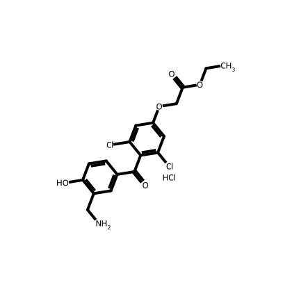 CCOC(=O)COc1cc(Cl)c(C(=O)c2ccc(O)c(CN)c2)c(Cl)c1.Cl